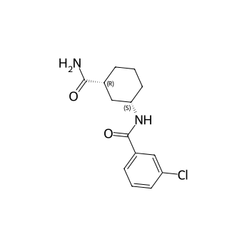 NC(=O)[C@@H]1CCC[C@H](NC(=O)c2cccc(Cl)c2)C1